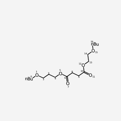 CCCCOCCCOC(=O)CCC(=O)OCCOCCCC